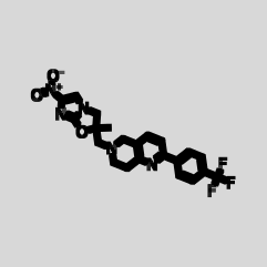 CC1(CN2CCc3nc(-c4ccc(C(F)(F)F)cc4)ccc3C2)Cn2cc([N+](=O)[O-])nc2O1